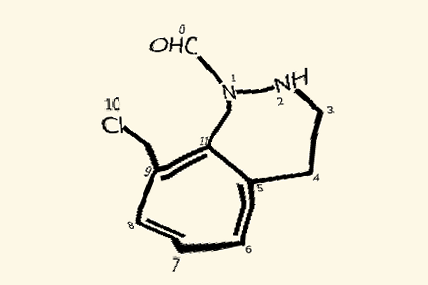 O=CN1NCCc2cccc(Cl)c21